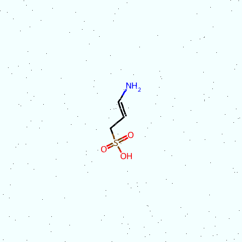 NC=CCS(=O)(=O)O